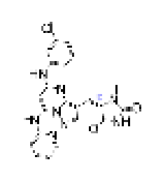 CN(c1ccccn1)c1cc(Nc2cccc(Cl)c2)nc2c(/C=C3/NC(=O)NC3=O)cnn12